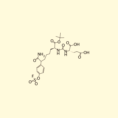 CC(C)(C)OC(=O)[C@H](CCCCC(C(N)=O)c1ccc(OS(=O)(=O)F)cc1)NC(=O)N[C@@H](CCC(=O)O)C(=O)O